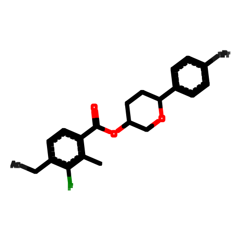 CCCc1ccc(C2CCC(OC(=O)c3ccc(CC(C)=O)c(F)c3C)CO2)cc1